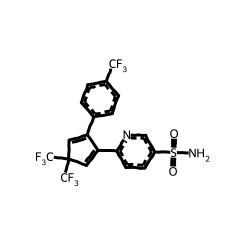 NS(=O)(=O)c1ccc(C2=CC(C(F)(F)F)(C(F)(F)F)C=C2c2ccc(C(F)(F)F)cc2)nc1